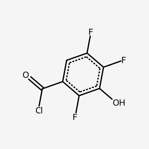 O=C(Cl)c1cc(F)c(F)c(O)c1F